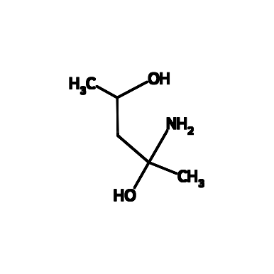 CC(O)CC(C)(N)O